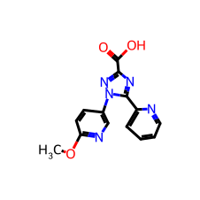 COc1ccc(-n2nc(C(=O)O)nc2-c2ccccn2)cn1